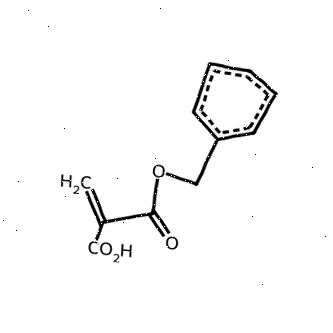 C=C(C(=O)O)C(=O)OCc1ccccc1